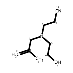 C=C(C)CN(CCO)CCC#N